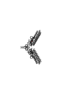 CCCN(CCOP(=O)(O)OCCN(CCC)S(=O)(=O)C(F)(F)C(F)(F)C(F)(F)C(F)(F)C(F)(F)C(F)(F)C(F)(F)C(F)(F)F)S(=O)(=O)C(F)(F)C(F)(F)C(F)(F)C(F)(F)C(F)(F)C(F)(F)C(F)(F)C(F)(F)F